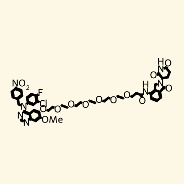 COc1cc2ncnc(N(Cc3ccc([N+](=O)[O-])cc3)c3ccc(F)c(Cl)c3)c2cc1OCCOCCOCCOCCOCCOCCOCCC(=O)Nc1cccc2c1CN(C1CCC(=O)NC1=O)C2=O